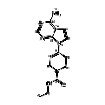 CCOC(=O)N1CC=C(n2ccc3c(N)ncnc32)CC1